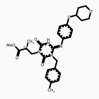 COC(=O)[C@@H](C)Cn1c(=O)[nH]/c(=N\c2ccc(OC3CCOCC3)cc2)n(Cc2ccc(C)cc2)c1=O